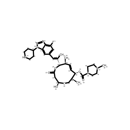 C/C(=C\c1cc(F)c2nnn(C3CCNCC3)c2c1)[C@H]1OC(=O)C[C@H](O)CC[C@H](C)[C@@H](OC(=O)N2CCN(C)CC2)/C=C/[C@@H]1C